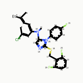 CC/C(C)=C/C=C(\C=C(/C)Cl)N(C)c1cnc(SCc2c(F)cccc2F)n1-c1ccc(F)cc1